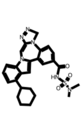 CN(C)S(=O)(=O)NC(=O)c1ccc2c(c1)-c1cc3c(C4CCCCC4)cccc3n1C=C1N=NCN12